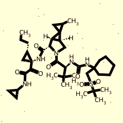 CCC[C@H]1C[C@]1(NC(=O)[C@@H]1[C@@H]2[C@H](CN1C(=O)[C@@H](NC(=O)NC1(CS(=O)(=O)C(C)(C)C)CCCCC1)C(C)(C)C)C21CC1C)C(=O)C(=O)NC1CC1